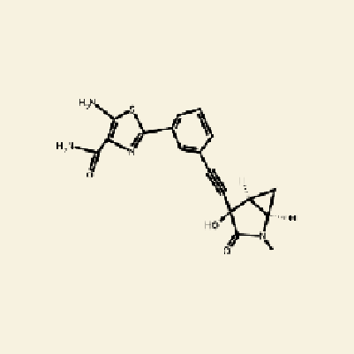 CN1C(=O)[C@](O)(C#Cc2cccc(-c3nc(C(N)=O)c(N)s3)c2)[C@H]2C[C@H]21